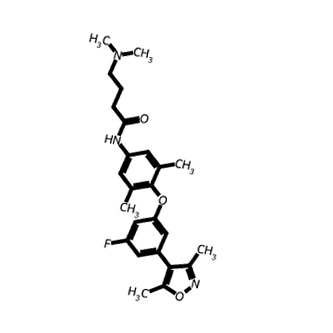 Cc1cc(NC(=O)CCCN(C)C)cc(C)c1Oc1cc(F)cc(-c2c(C)noc2C)c1